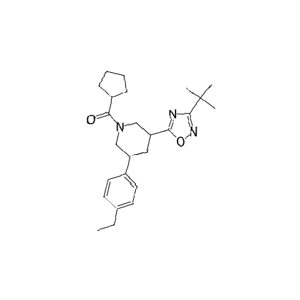 CCc1ccc(C2CC(c3nc(C(C)(C)C)no3)CN(C(=O)C3CCCC3)C2)cc1